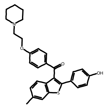 Cc1ccc2c(C(=O)c3ccc(OCCN4CCCCC4)cc3)c(-c3ccc(O)cc3)sc2c1